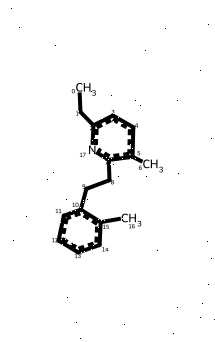 CCc1ccc(C)c(CCc2ccccc2C)n1